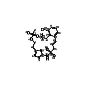 CS(=O)(=O)OCCc1nnc(NS(=O)(=O)CC=Cc2cccc(Cl)c2CN)s1